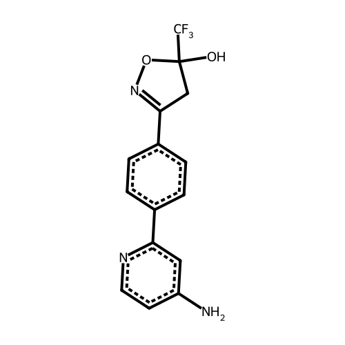 Nc1ccnc(-c2ccc(C3=NOC(O)(C(F)(F)F)C3)cc2)c1